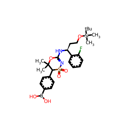 CC1(C)OC(N[C@@H](CCO[Si](C)(C)C(C)(C)C)c2ccccc2F)=NS(=O)(=O)C1c1ccc(B(O)O)cc1